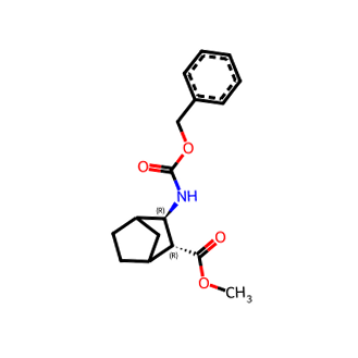 COC(=O)[C@@H]1C2CCC(C2)[C@H]1NC(=O)OCc1ccccc1